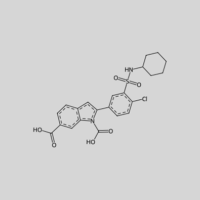 O=C(O)c1ccc2cc(-c3ccc(Cl)c(S(=O)(=O)NC4CCCCC4)c3)n(C(=O)O)c2c1